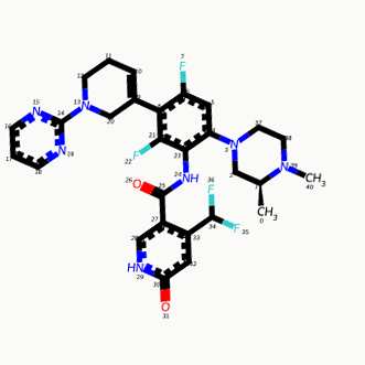 C[C@H]1CN(c2cc(F)c(C3=CCCN(c4ncccn4)C3)c(F)c2NC(=O)c2c[nH]c(=O)cc2C(F)F)CCN1C